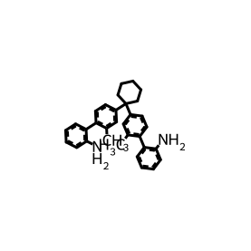 Cc1cc(C2(c3ccc(-c4ccccc4N)c(C)c3)CCCCC2)ccc1-c1ccccc1N